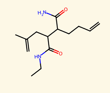 C=CCCC(C(N)=O)C(CC(=C)C)C(=O)NCC